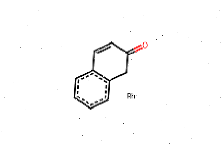 O=C1C=Cc2ccccc2C1.[Rh]